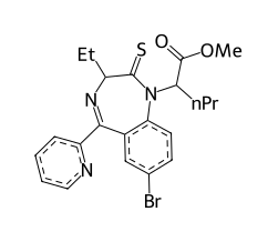 CCCC(C(=O)OC)N1C(=S)C(CC)N=C(c2ccccn2)c2cc(Br)ccc21